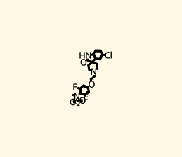 CN(c1c(F)cc(OCCN2CCC3(CC2)C(=O)Nc2ccc(Cl)cc23)cc1F)S(C)(=O)=O